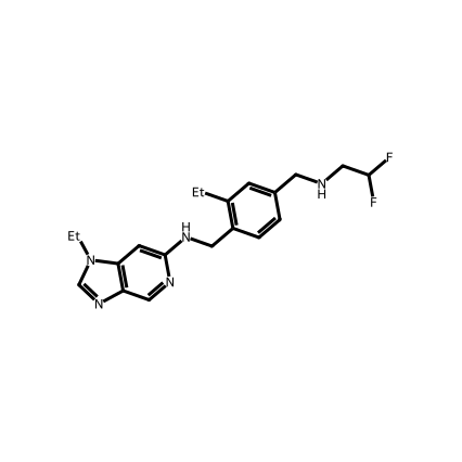 CCc1cc(CNCC(F)F)ccc1CNc1cc2c(cn1)ncn2CC